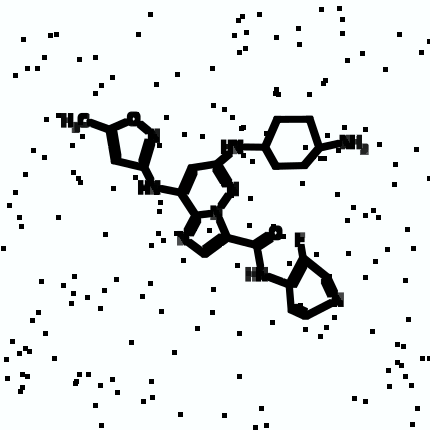 Cc1cc(Nc2cc(NC3CCC(N)CC3)nn3c(C(=O)Nc4ccncc4F)cnc23)no1